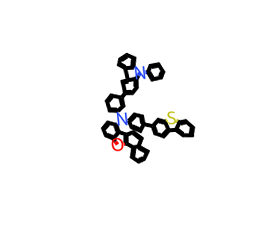 c1ccc(-n2c3ccccc3c3cc(-c4cccc(N(c5ccc(-c6ccc7c(c6)sc6ccccc67)cc5)c5cccc6oc7c8ccccc8ccc7c56)c4)ccc32)cc1